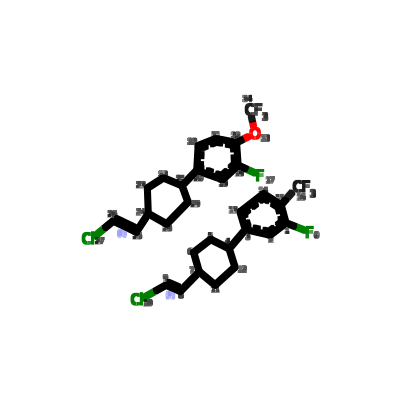 Fc1cc(C2CCC(/C=C/Cl)CC2)ccc1C(F)(F)F.Fc1cc(C2CCC(/C=C/Cl)CC2)ccc1OC(F)(F)F